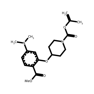 C=C(C)OC(=O)N1CCC(Oc2cc(N(C)C)ccc2C(=O)OC)CC1